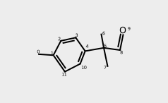 Cc1ccc(C(C)(C)C=O)cc1